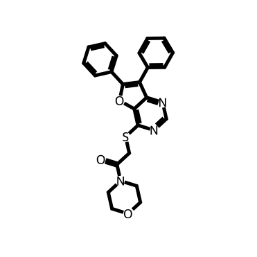 O=C(CSc1ncnc2c(-c3ccccc3)c(-c3ccccc3)oc12)N1CCOCC1